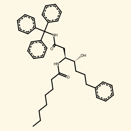 CCCCCCCC(=O)N[C@@H](CC(=O)NC(c1ccccc1)(c1ccccc1)c1ccccc1)[C@H](O)CCCc1ccccc1